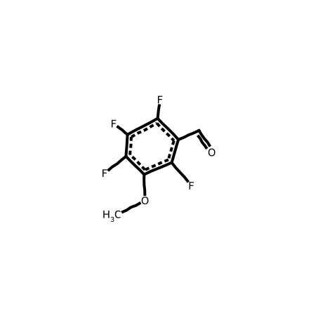 COc1c(F)c(F)c(F)c(C=O)c1F